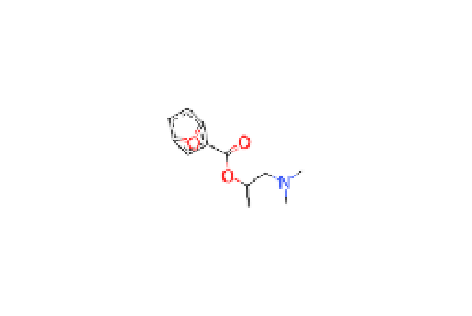 CC(CN(C)C)OC(=O)c1cc2ccc1o2